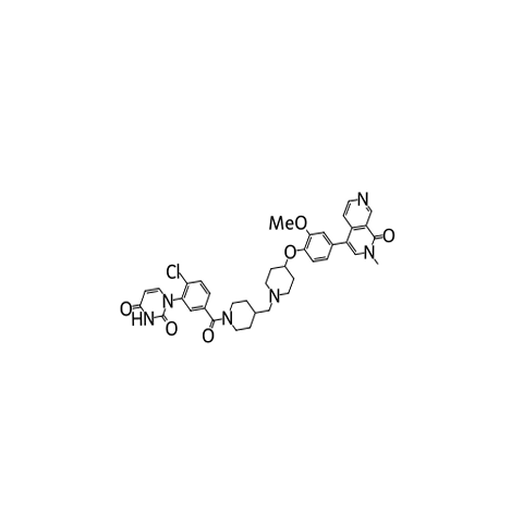 COc1cc(-c2cn(C)c(=O)c3cnccc23)ccc1OC1CCN(CC2CCN(C(=O)c3ccc(Cl)c(-n4ccc(=O)[nH]c4=O)c3)CC2)CC1